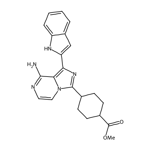 COC(=O)C1CCC(c2nc(-c3cc4ccccc4[nH]3)c3c(N)nccn23)CC1